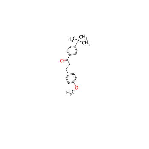 COc1ccc(CCC(=O)c2ccc(C(C)(C)C)cc2)cc1